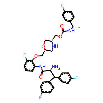 C[C@H](NC(=O)OC[C@@H]1CO[C@H](COc2c(F)cccc2NC(=O)[C@@H](N)C(c2ccc(F)cc2)c2ccc(F)cc2)CN1)c1ccc(F)cc1